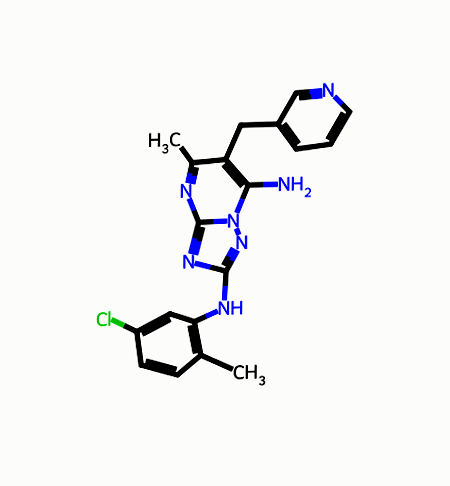 Cc1ccc(Cl)cc1Nc1nc2nc(C)c(Cc3cccnc3)c(N)n2n1